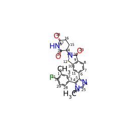 Cc1cc(-c2c(-c3ccc4c(c3)CN(C3CCC(=O)NC3=O)C4=O)ncn2C)ccc1F